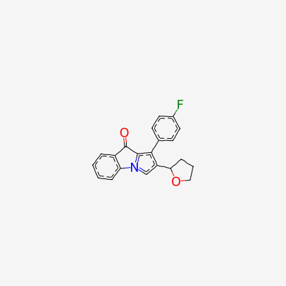 O=C1c2ccccc2-n2cc(C3CCCO3)c(-c3ccc(F)cc3)c21